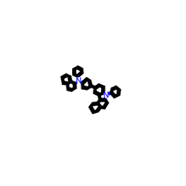 c1ccc(N(c2ccc(-c3ccc4c(c3)c3c5ccccc5ccc3n4-c3ccccc3)cc2)c2cccc3ccccc23)cc1